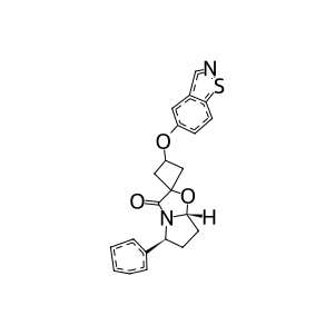 O=C1N2[C@@H](CC[C@H]2c2ccccc2)OC12CC(Oc1ccc3sncc3c1)C2